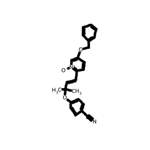 CC(C)(C=Cc1ccc(OCc2ccccc2)c[n+]1[O-])Oc1ccc(C#N)cc1